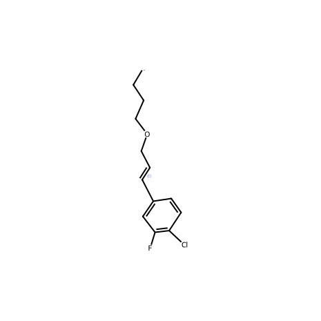 [CH2]CCCOC/C=C/c1ccc(Cl)c(F)c1